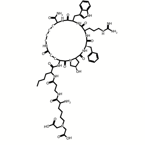 CCCCC(NC(=O)CCNC(=O)C(N)CCCCN(CC(=O)O)CC(=O)O)C(=O)NC1CCC(=O)NCCCCC(C(N)=O)NC(=O)C(Cc2c[nH]c3ccccc23)NC(=O)C(CCCNC(=N)N)NC(=O)[C@@H](Cc2ccccc2)NC(=O)C2C[C@@H](O)CN2C1=O